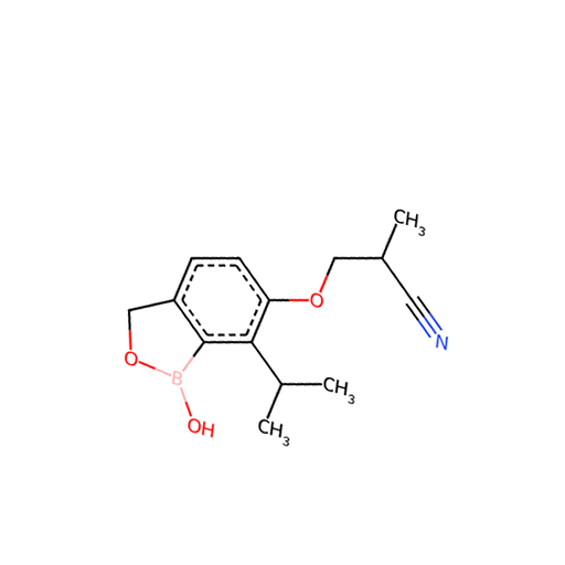 CC(C#N)COc1ccc2c(c1C(C)C)B(O)OC2